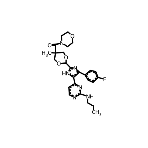 CCCNc1nccc(-c2[nH]c(C3OCC(C)(C(=O)N4CCOCC4)CO3)nc2-c2ccc(F)cc2)n1